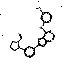 O=CN1CCCC1c1cccc(-c2cc3ncnc(Nc4cccc(O)c4)c3s2)c1